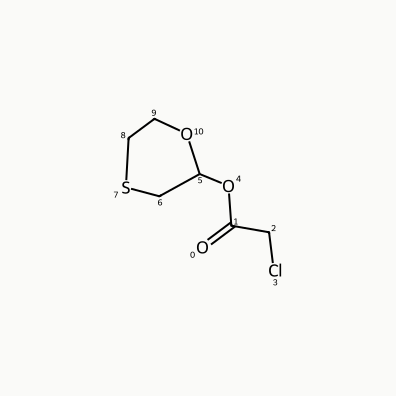 O=C(CCl)OC1CSCCO1